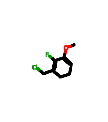 COC1=CCCC(CCl)=C1F